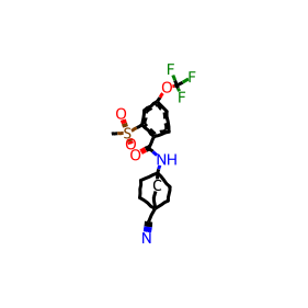 CS(=O)(=O)c1cc(OC(F)(F)F)ccc1C(=O)NC12CCC(C#N)(CC1)CC2